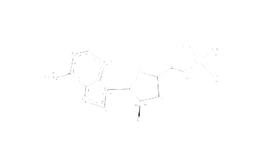 Nc1ncnc2c1ncn2C1OC(COP(=O)(O)O)C[C@H]1F